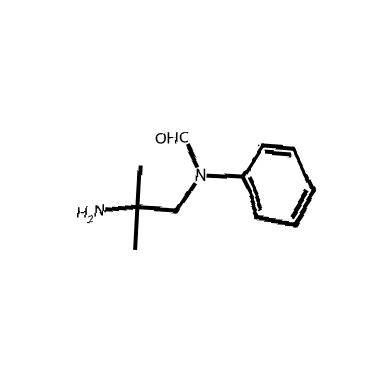 CC(C)(N)CN(C=O)c1[c]cccc1